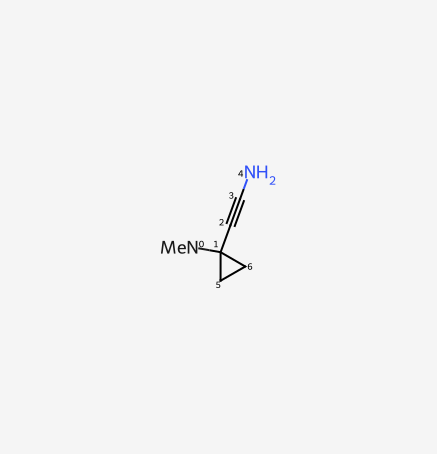 CNC1(C#CN)CC1